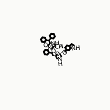 COC(=O)N(C(=O)[C@@H](N)C(c1ccccc1)c1ccccc1)c1ccccc1CC[C@@H]1CNC[C@@H](COc2ccc3cc[nH]c3c2)O1